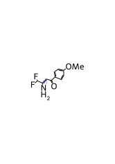 COc1ccc(C(=O)/C=C(\N)C(F)F)cc1